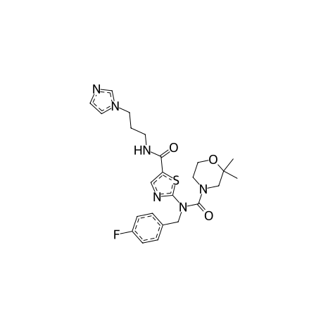 CC1(C)CN(C(=O)N(Cc2ccc(F)cc2)c2ncc(C(=O)NCCCn3ccnc3)s2)CCO1